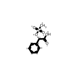 CS(=O)(=O)O[C@H](C(=O)O)c1ccccc1